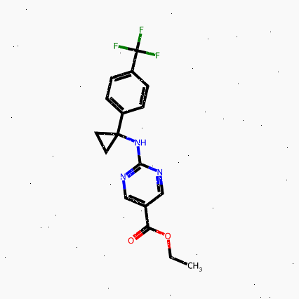 CCOC(=O)c1cnc(NC2(c3ccc(C(F)(F)F)cc3)CC2)nc1